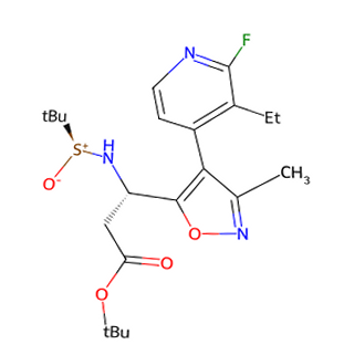 CCc1c(-c2c(C)noc2[C@H](CC(=O)OC(C)(C)C)N[S@@+]([O-])C(C)(C)C)ccnc1F